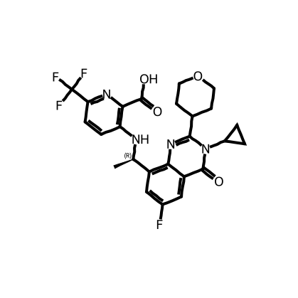 C[C@@H](Nc1ccc(C(F)(F)F)nc1C(=O)O)c1cc(F)cc2c(=O)n(C3CC3)c(C3CCOCC3)nc12